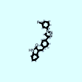 O=C1Nc2ccccc2/C1=C/c1ccc(-c2cn(-c3cccc(F)c3)nn2)cc1